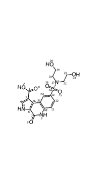 O=C(O)c1c[nH]c2c(=O)[nH]c3ccc(S(=O)(=O)N(CCO)CCO)cc3c12